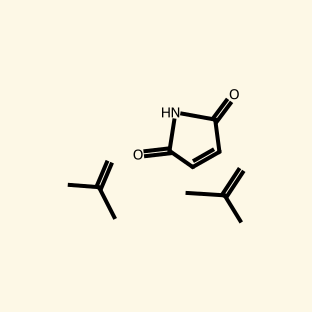 C=C(C)C.C=C(C)C.O=C1C=CC(=O)N1